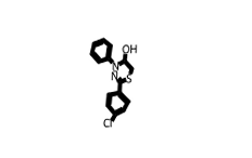 OC1CSC(c2ccc(Cl)cc2)=NN1c1ccccc1